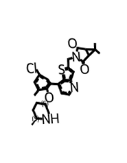 Cc1cc(Cl)cc(-c2ccnc3cc(CN4C(=O)C5C(C4=O)C5(C)C)sc23)c1O[C@H]1CC[C@H](C)NC1